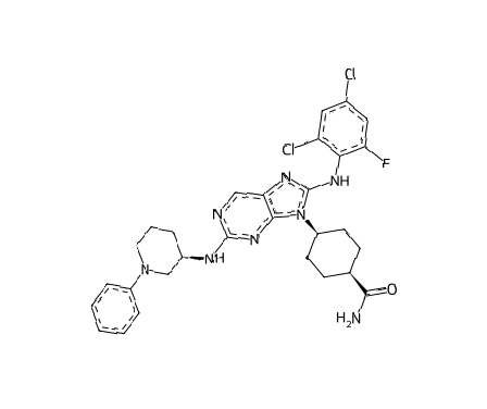 NC(=O)[C@H]1CC[C@@H](n2c(Nc3c(F)cc(Cl)cc3Cl)nc3cnc(N[C@@H]4CCCN(c5ccccc5)C4)nc32)CC1